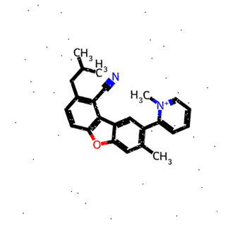 Cc1cc2oc3ccc(CC(C)C)c(C#N)c3c2cc1-c1cccc[n+]1C